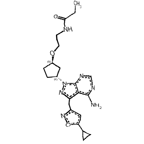 CCC(=O)NCCO[C@@H]1CC[C@@H](n2nc(-c3cc(C4CC4)on3)c3c(N)ncnc32)C1